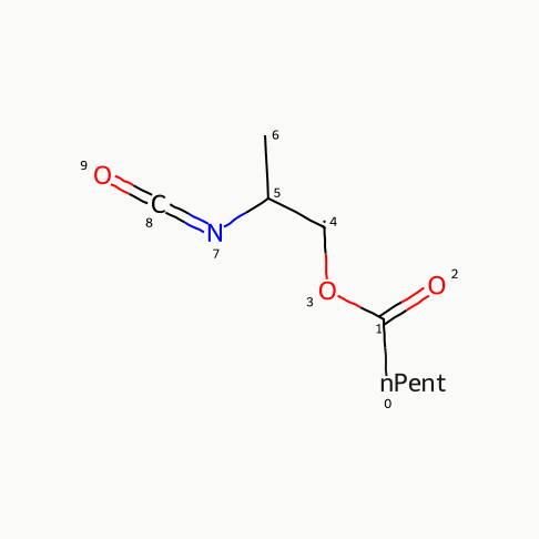 CCCCCC(=O)O[CH]C(C)N=C=O